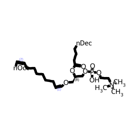 CCCCCCCC/C=C\CCCCCC/C=C\OC[C@H](COP(=O)(O)OCC[N+](C)(C)C)OC(=O)CCCCCCCCCCCCC